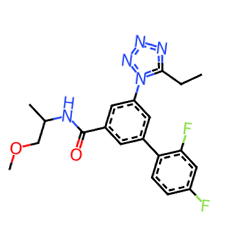 CCc1nnnn1-c1cc(C(=O)NC(C)COC)cc(-c2ccc(F)cc2F)c1